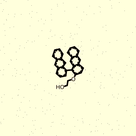 OCCOc1ccc2cc3ccccc3cc2c1-c1cccc2cc3ccccc3cc12